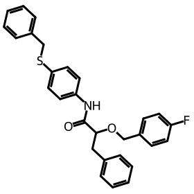 O=C(Nc1ccc(SCc2ccccc2)cc1)C(Cc1ccccc1)OCc1ccc(F)cc1